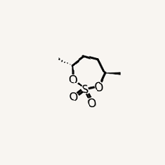 C[C@@H]1CC[C@@H](C)OS(=O)(=O)O1